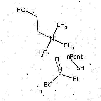 CCCCCS.CC[PH](=O)CC.C[N+](C)(C)CCO.I